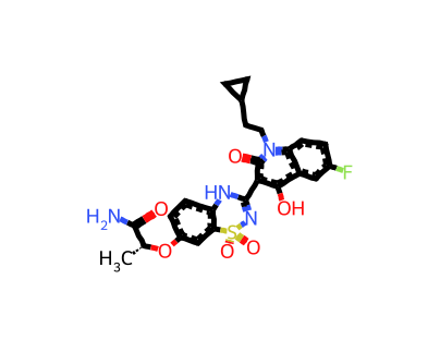 C[C@@H](Oc1ccc2c(c1)S(=O)(=O)N=C(c1c(O)c3cc(F)ccc3n(CCC3CC3)c1=O)N2)C(N)=O